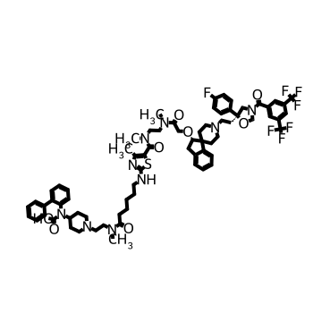 Cc1nc(NCCCCCC(=O)N(C)CCN2CCC(N(C(=O)O)c3ccccc3-c3ccccc3)CC2)sc1C(=O)N(C)CCN(C)C(=O)CO[C@H]1Cc2ccccc2C12CCN(CC[C@]1(c3ccc(F)cc3)CN(C(=O)c3cc(C(F)(F)F)cc(C(F)(F)F)c3)CO1)CC2